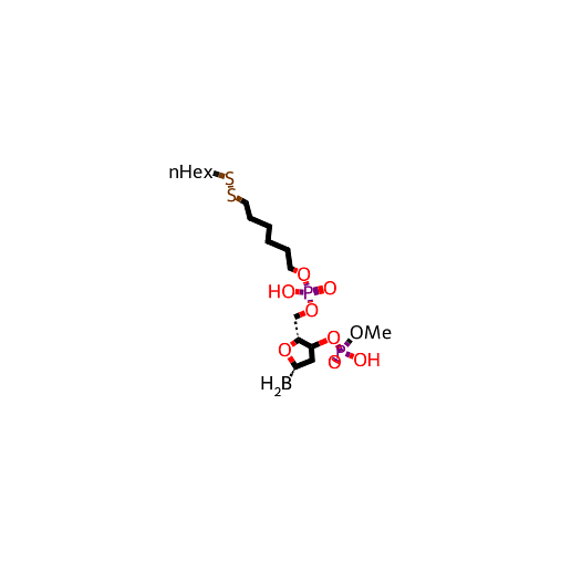 B[C@H]1CC(OP(=O)(O)OC)[C@@H](COP(=O)(O)OCCCCCCSSCCCCCC)O1